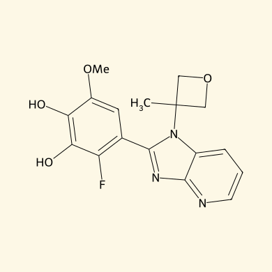 COc1cc(-c2nc3ncccc3n2C2(C)COC2)c(F)c(O)c1O